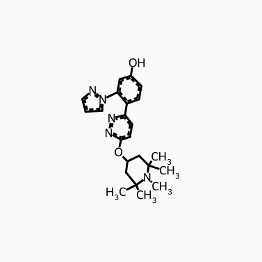 CN1C(C)(C)CC(Oc2ccc(-c3ccc(O)cc3-n3cccn3)nn2)CC1(C)C